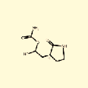 N#CC(C[C@@H]1CCNC1=O)OC(N)=O